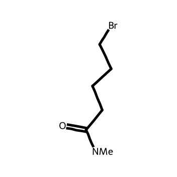 CNC(=O)CCCCBr